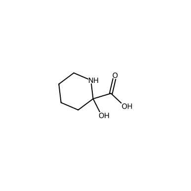 O=C(O)C1(O)CCCCN1